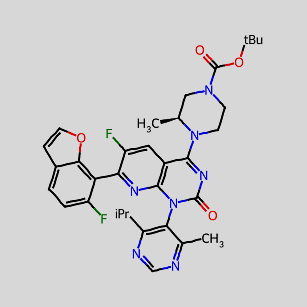 Cc1ncnc(C(C)C)c1-n1c(=O)nc(N2CCN(C(=O)OC(C)(C)C)C[C@@H]2C)c2cc(F)c(-c3c(F)ccc4ccoc34)nc21